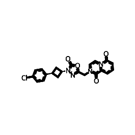 O=c1c2cccc(=O)n2ccn1Cc1nn([C@H]2C[C@H](c3ccc(Cl)cc3)C2)c(=O)o1